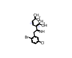 C=C(Cl)/C=C\C(C(=N)Cc1cc(Cl)ccc1Br)=C(/C)O